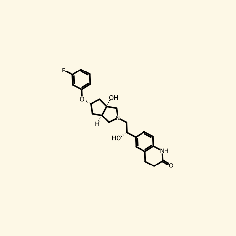 O=C1CCc2cc([C@H](O)CN3C[C@H]4C[C@H](Oc5cccc(F)c5)C[C@@]4(O)C3)ccc2N1